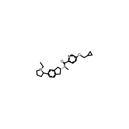 CCN1CCCC1c1ccc2c(c1)C[C@H](N(C)C(=O)c1ccc(OCC3CC3)cn1)C2